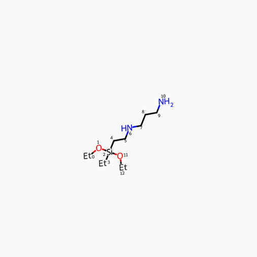 CCO[Si](CC)(CCNCCCN)OCC